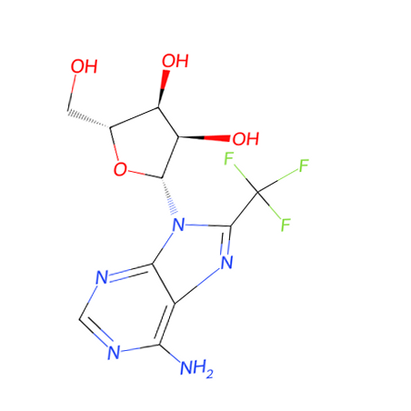 Nc1ncnc2c1nc(C(F)(F)F)n2[C@@H]1O[C@H](CO)[C@@H](O)[C@H]1O